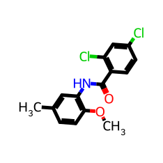 COc1ccc(C)cc1NC(=O)c1ccc(Cl)cc1Cl